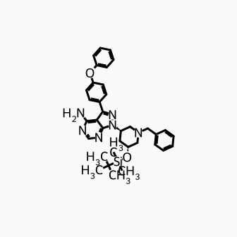 CC(C)(C)[Si](C)(C)O[C@@H]1C[C@@H](n2nc(-c3ccc(Oc4ccccc4)cc3)c3c(N)ncnc32)CN(Cc2ccccc2)C1